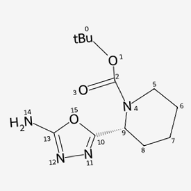 CC(C)(C)OC(=O)N1CCCC[C@@H]1c1nnc(N)o1